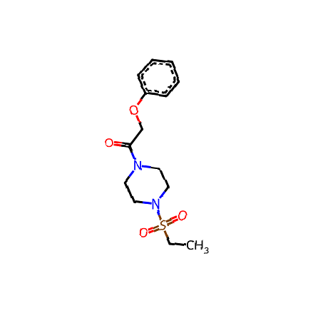 CCS(=O)(=O)N1CCN(C(=O)COc2ccccc2)CC1